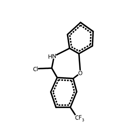 FC(F)(F)c1ccc2c(c1)Oc1ccccc1NC2Cl